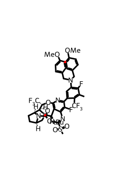 COc1ccc(CN(Cc2ccc(OC)cc2)c2cc(-c3nc4c5c(nc(S(C)(=O)=O)nc5c3F)N3C[C@H]5CC[C@@H]([C@H]3[C@H](C(F)(F)F)O4)N5C(=O)OC(C)(C)C)c(C(F)(F)F)c(C)c2F)cc1